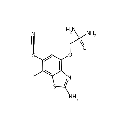 N#CSc1cc(OCP(N)(N)=O)c2nc(N)sc2c1I